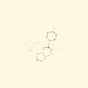 COc1nc2ncnn2c(NC2CCCC2)c1-c1cc(F)c(C)cc1F